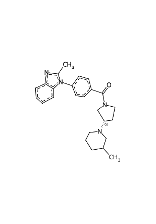 Cc1nc2ccccc2n1-c1ccc(C(=O)N2CC[C@H](N3CCCC(C)C3)C2)cc1